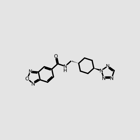 O=C(NC[C@H]1CC[C@H](n2ncnn2)CC1)c1ccc2nonc2c1